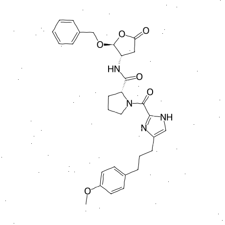 COc1ccc(CCCc2c[nH]c(C(=O)N3CCC[C@@H]3C(=O)N[C@H]3CC(=O)O[C@@H]3OCc3ccccc3)n2)cc1